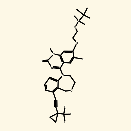 Cn1c(=O)nc(N2CCOCc3c(C#CC4(C(F)(F)F)CC4)cccc32)c2cc(Cl)c(OCCO[Si](C)(C)C(C)(C)C)cc21